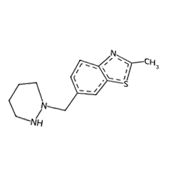 Cc1nc2ccc(CN3CCCCN3)cc2s1